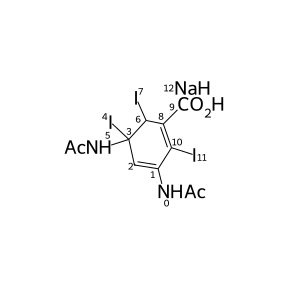 CC(=O)NC1=CC(I)(NC(C)=O)C(I)C(C(=O)O)=C1I.[NaH]